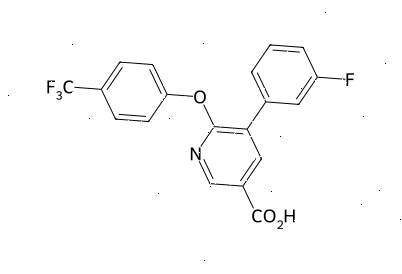 O=C(O)c1cnc(Oc2ccc(C(F)(F)F)cc2)c(-c2cccc(F)c2)c1